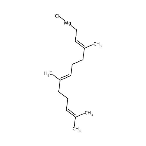 CC(C)=CCCC(C)=CCCC(C)=C[CH2][Mg][Cl]